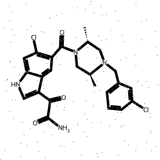 C[C@@H]1CN(Cc2cccc(Cl)c2)[C@@H](C)CN1C(=O)c1cc2c(C(=O)C(N)=O)c[nH]c2cc1Cl